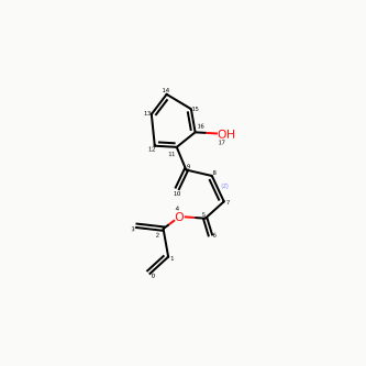 C=CC(=C)OC(=C)/C=C\C(=C)c1ccccc1O